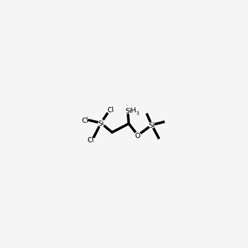 C[Si](C)(C)OC([SiH3])C[Si](Cl)(Cl)Cl